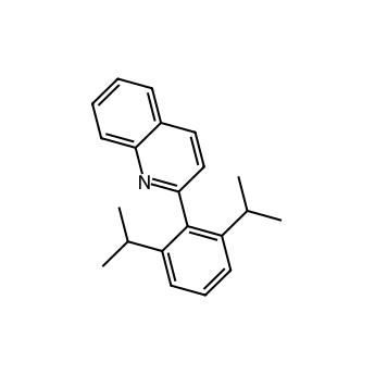 CC(C)c1cccc(C(C)C)c1-c1ccc2ccccc2n1